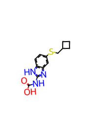 O=C(O)Nc1nc2cc(SCC3CCC3)ccc2[nH]1